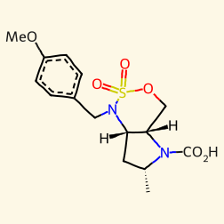 COc1ccc(CN2[C@H]3C[C@@H](C)N(C(=O)O)[C@H]3COS2(=O)=O)cc1